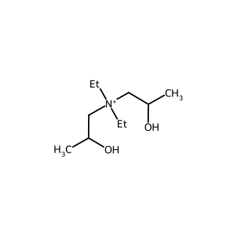 CC[N+](CC)(CC(C)O)CC(C)O